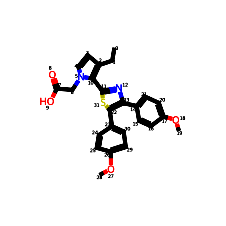 CCc1ccn(CC(=O)O)c1-c1nc(-c2ccc(OC)cc2)c(-c2ccc(OC)cc2)s1